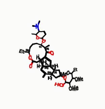 CCC(OC)C(OC)C(OC)C(O)OC1C[C@H]2[C@@H]3C=C4C(=O)[C@H](C)[C@@H](OC5CCC(N(C)C)C(C)O5)CCC[C@H](CC)OC(=O)C[C@H]4[C@@H]3C=C(C)[C@@H]2C1